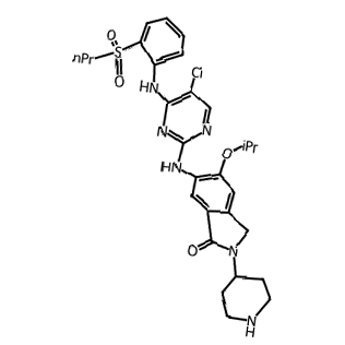 CCCS(=O)(=O)c1ccccc1Nc1nc(Nc2cc3c(cc2OC(C)C)CN(C2CCNCC2)C3=O)ncc1Cl